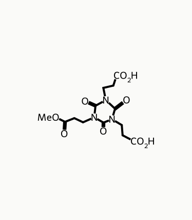 COC(=O)CCn1c(=O)n(CCC(=O)O)c(=O)n(CCC(=O)O)c1=O